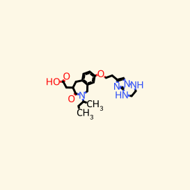 CCC(C)N1Cc2cc(OCCc3cn4c(n3)NCCN4)ccc2CC(CC(=O)O)C1=O